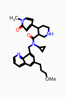 COCCCc1cc(CN(C(=O)C2CNCCC2c2ccn(C)c(=O)c2)C2CC2)c2ncccc2c1